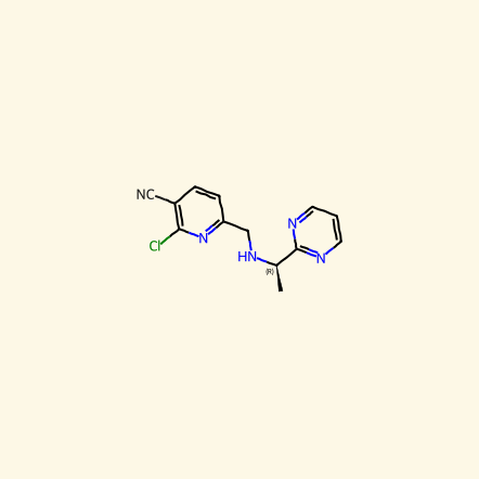 C[C@@H](NCc1ccc(C#N)c(Cl)n1)c1ncccn1